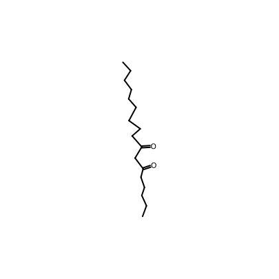 CCCCCCCCCC(=O)CC(=O)CCCCC